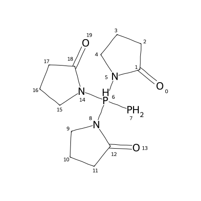 O=C1CCCN1[PH](P)(N1CCCC1=O)N1CCCC1=O